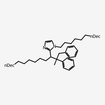 CCCCCCCCCCCCCCCCC(c1nccn1CCCCCCCCCCCCCCCC)C(C)(Cc1ccccc1)c1ccccc1